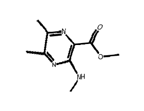 CNc1nc(C)c(C)nc1C(=O)OC